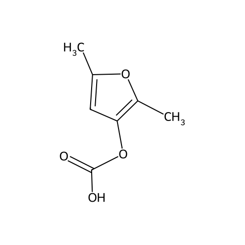 Cc1cc(OC(=O)O)c(C)o1